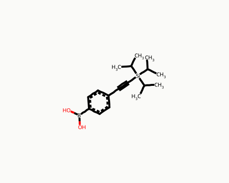 CC(C)[Si](C#Cc1ccc(B(O)O)cc1)(C(C)C)C(C)C